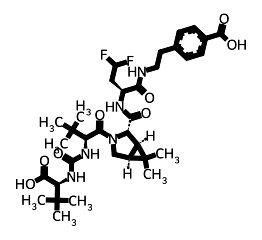 CC(C)(C)[C@H](NC(=O)N[C@H](C(=O)N1C[C@H]2[C@@H]([C@H]1C(=O)N[C@@H](CC(F)F)C(=O)NCCc1ccc(C(=O)O)cc1)C2(C)C)C(C)(C)C)C(=O)O